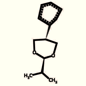 CC(C)[C@H]1OC[C@H](c2ccccc2)CO1